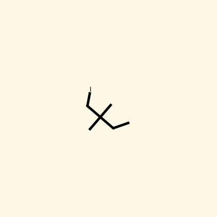 CCC(C)(C)CI